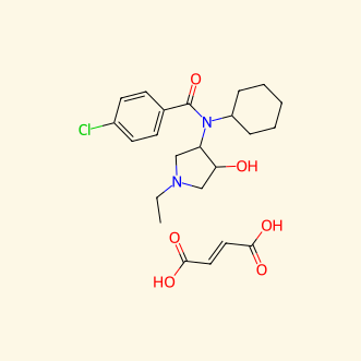 CCN1CC(O)C(N(C(=O)c2ccc(Cl)cc2)C2CCCCC2)C1.O=C(O)C=CC(=O)O